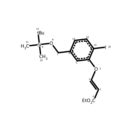 CCOC(=O)C=COc1cc(CO[Si](C)(C)C(C)(C)C)ccc1I